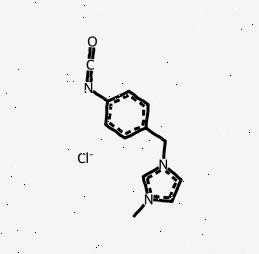 C[n+]1ccn(Cc2ccc(N=C=O)cc2)c1.[Cl-]